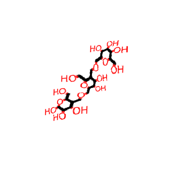 OCC1OC(COCC2C(CO)OC(COCC3C(CO)OC(O)C(O)C3O)C(O)C2O)C(O)C(O)C1O